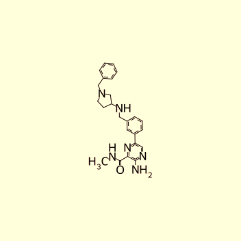 CNC(=O)c1nc(-c2cccc(CNC3CCN(Cc4ccccc4)C3)c2)cnc1N